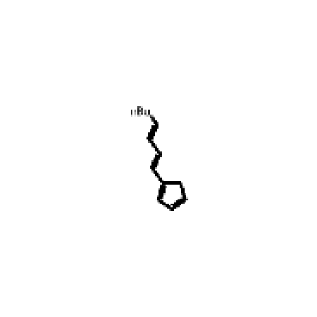 CCCCC=CC=CC1=CC=CC1